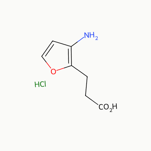 Cl.Nc1ccoc1CCC(=O)O